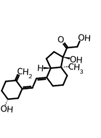 C=C1CC[C@@H](O)C/C1=C/C=C1\CCC[C@@]2(C)[C@H]1CC[C@]2(O)C(=O)CO